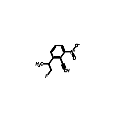 C#Cc1c([C](C)CF)cccc1[N+](=O)[O-]